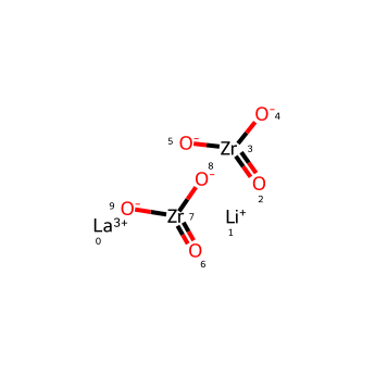 [La+3].[Li+].[O]=[Zr]([O-])[O-].[O]=[Zr]([O-])[O-]